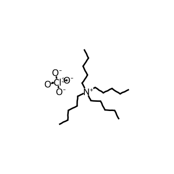 CCCCC[N+](CCCCC)(CCCCC)CCCCC.[O-][Cl+3]([O-])([O-])[O-]